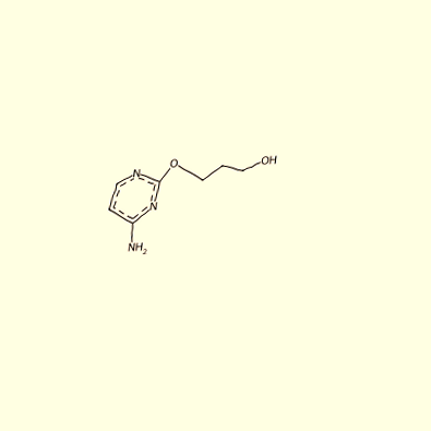 Nc1ccnc(OCCCO)n1